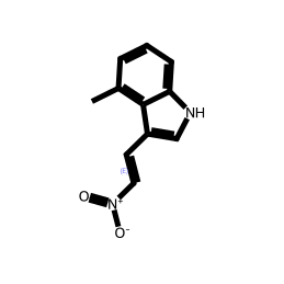 Cc1cccc2[nH]cc(/C=C/[N+](=O)[O-])c12